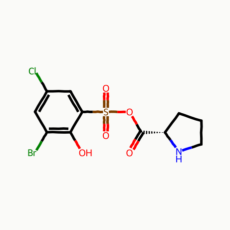 O=C(OS(=O)(=O)c1cc(Cl)cc(Br)c1O)[C@@H]1CCCN1